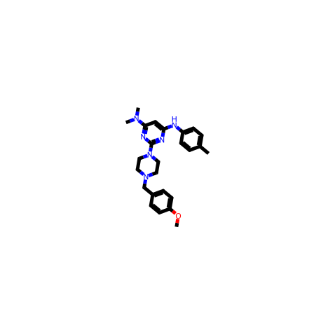 COc1ccc(CN2CCN(c3nc(Nc4ccc(C)cc4)cc(N(C)C)n3)CC2)cc1